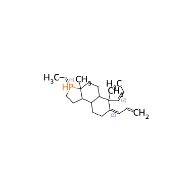 C=C/C=C1/CCC2C(CCC3(C)C2CC/[PH]3=C\C)C1(C)/C=C\C